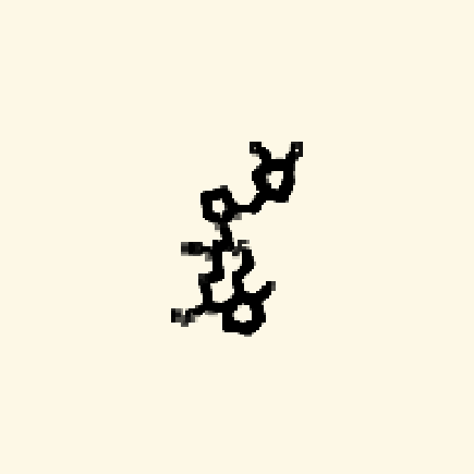 C[C@@H](OC[C@H](O)CN1CCC[C@H]1Cc1ccc(Cl)c(Cl)c1)c1cccc(F)c1CCC(=O)O